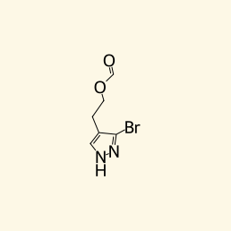 O=COCCc1c[nH]nc1Br